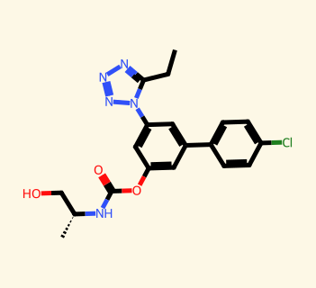 CCc1nnnn1-c1cc(OC(=O)N[C@H](C)CO)cc(-c2ccc(Cl)cc2)c1